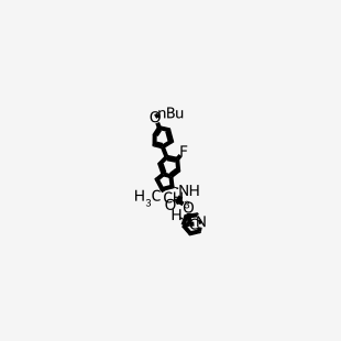 CCCCOc1ccc(-c2cc3c(cc2F)[C@H](NC(=O)O[C@H]2CN4CCC2CC4)C(C)(C)C3)cc1